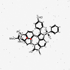 COC(=O)N[C@@H]1CC[C@@H](n2c(=O)n(C)c3cnc4c(c(-c5ccc6c(cnn6C(C)C)c5)c(-c5ccc(C=O)cc5)n4S(=O)(=O)c4ccccc4)c32)C1